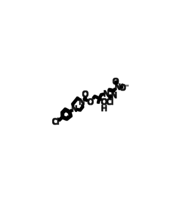 CC(O)(COC(=O)N1CCN(c2ccc(Cl)cc2)CC1)Cn1cc([N+](=O)[O-])nc1Cl